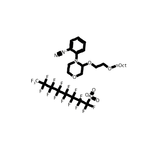 CCCCCCCCOCCOC1COCCN1c1ccccc1[N+]#N.O=S(=O)([O-])C(F)(F)C(F)(F)C(F)(F)C(F)(F)C(F)(F)C(F)(F)C(F)(F)C(F)(F)F